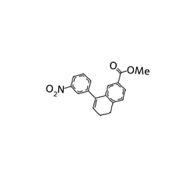 COC(=O)c1ccc2c(c1)C(c1cccc([N+](=O)[O-])c1)=CCC2